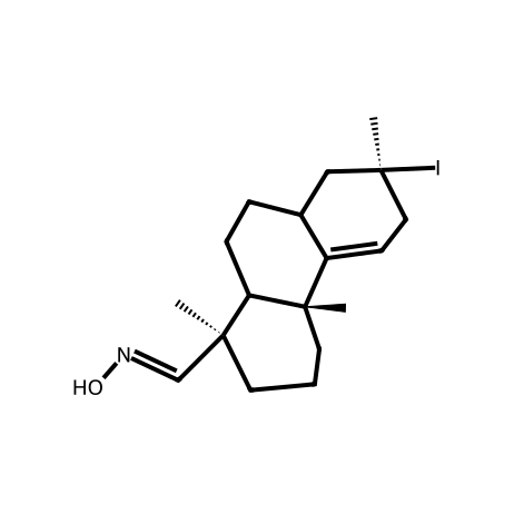 C[C@]1(I)CC=C2C(CCC3[C@@]2(C)CCC[C@@]3(C)/C=N/O)C1